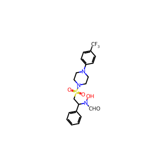 O=CN(O)C(CS(=O)(=O)N1CCN(c2ccc(C(F)(F)F)cc2)CC1)c1ccccc1